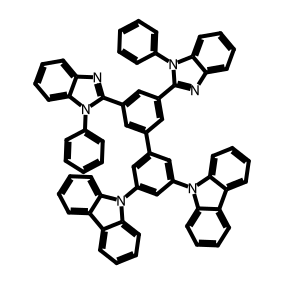 c1ccc(-n2c(-c3cc(-c4cc(-n5c6ccccc6c6ccccc65)cc(-n5c6ccccc6c6ccccc65)c4)cc(-c4nc5ccccc5n4-c4ccccc4)c3)nc3ccccc32)cc1